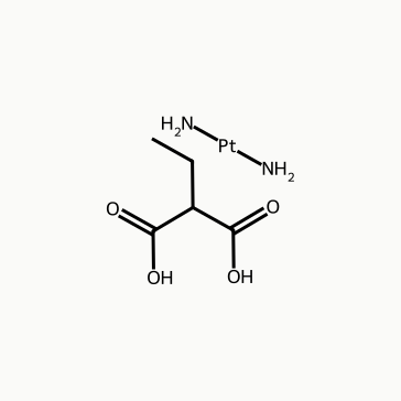 CCC(C(=O)O)C(=O)O.[NH2][Pt][NH2]